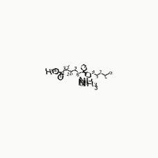 CCCCCOC(=O)CCCCC(=O)O.N.N